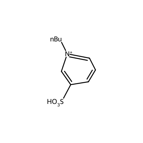 CCCC[n+]1cccc(S(=O)(=O)O)c1